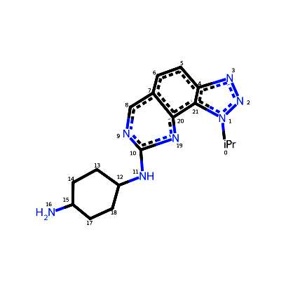 CC(C)n1nnc2ccc3cnc(NC4CCC(N)CC4)nc3c21